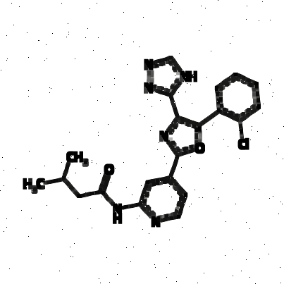 CC(C)CC(=O)Nc1cc(-c2nc(-c3nnc[nH]3)c(-c3ccccc3Cl)o2)ccn1